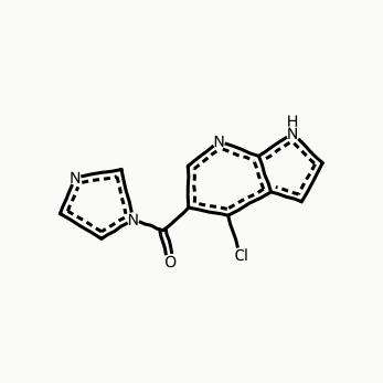 O=C(c1cnc2[nH]ccc2c1Cl)n1ccnc1